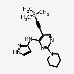 C[Si](C)(C)C#Cc1cnc(N2CCCCC2)nc1Nc1cc[nH]n1